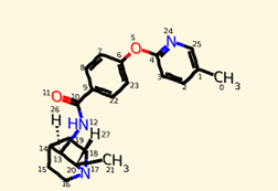 Cc1ccc(Oc2ccc(C(=O)N[C@@H]3C4CCN(CC4)[C@H]3C)cc2)nc1